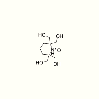 [O-][NH+]1C(CO)(CO)CCCC1(CO)CO